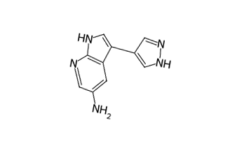 Nc1cnc2[nH]cc(-c3cn[nH]c3)c2c1